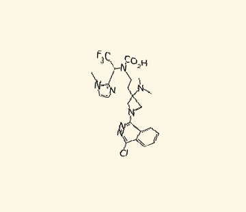 CN(C)C1(CCN(C(=O)O)C(c2nccn2C)C(F)(F)F)CN(c2nnc(Cl)c3ccccc23)C1